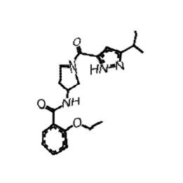 CCOc1ccccc1C(=O)NC1CCN(C(=O)c2cc(C(C)C)n[nH]2)C1